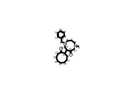 CN1CCCN(Cc2ccccc2)CC(C2CCCCCCCC2=O)C(=O)C1